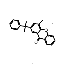 Cc1cc(C(C)(C)c2ccccc2)cc2c(=O)c3ccccc3oc12